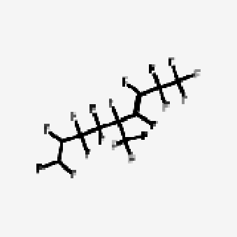 FC(=C(F)C(F)(C(F)(F)F)C(F)(F)C(F)(F)C(F)C(F)F)C(F)(F)C(F)(F)F